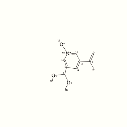 C=C(C)c1cc(C(OC)OC)c[n+]([O-])c1